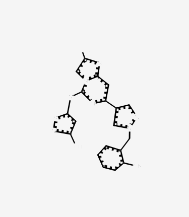 Cc1cn2c(Nc3cc(C)[nH]n3)nc(-c3cnn(Cc4ccccc4C#N)c3)cc2n1